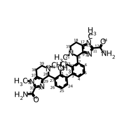 Cc1c(-c2cccc(C3c4nc(C(N)=O)n(C)c4CCN3C)c2Cl)cccc1C1c2nc(C(N)=O)n(C)c2CCN1C